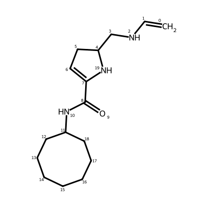 C=CNCC1CC=C(C(=O)NC2CCCCCCC2)N1